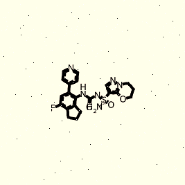 N[S@](=O)(=NC(=O)Nc1c(-c2ccncc2)cc(F)c2c1CCC2)c1cnn2c1OCCC2